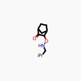 CC(C)CNOC1C(=O)C2CCC1C2